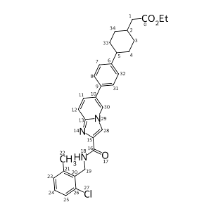 CCOC(=O)CC1CCC(c2ccc(-c3ccc4nc(C(=O)NCc5c(C)cccc5Cl)cn4c3)cc2)CC1